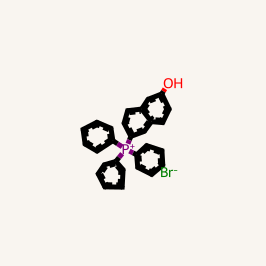 Oc1ccc2cc([P+](c3ccccc3)(c3ccccc3)c3ccccc3)ccc2c1.[Br-]